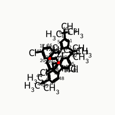 Cl.Cl.[CH2]=[Zr]([C]1=CC(C(C)(C)C)=CC1CC)([c]1ccc(Cl)cc1)([c]1ccc(Cl)cc1)[c]1c(C(C)(C)C)ccc2c1Cc1cc(C(C)(C)C)ccc1-2